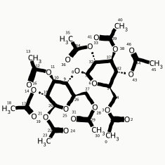 CC(=O)OC[C@H]1O[C@H](O[C@H]2[C@H](OC(C)=O)[C@@H](OC(C)=O)[C@H](OC(C)=O)O[C@@H]2COC(C)=O)[C@H](OC(C)=O)[C@@H](OC(C)=O)[C@@H]1OC(C)=O